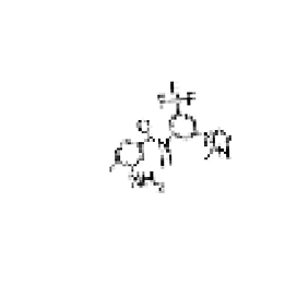 Cc1ccc(C(=O)Nc2cc(-n3ccnc3C)cc(C(F)(F)F)c2)cc1N